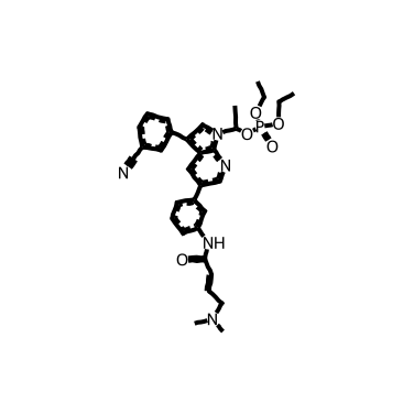 CCOP(=O)(OCC)OC(C)n1cc(-c2cccc(C#N)c2)c2cc(-c3cccc(NC(=O)C=CCN(C)C)c3)cnc21